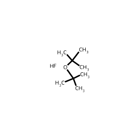 CC(C)(C)OC(C)(C)C.F